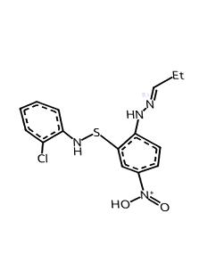 CC/C=N/Nc1ccc([N+](=O)O)cc1SNc1ccccc1Cl